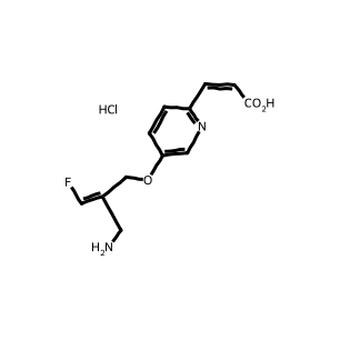 Cl.NC/C(=C/F)COc1ccc(/C=C\C(=O)O)nc1